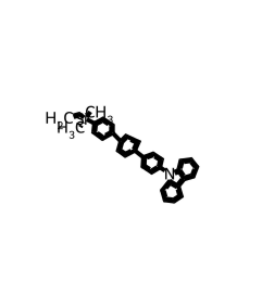 C=C[Si](C)(C)c1ccc(-c2ccc(-c3ccc(-n4c5ccccc5c5ccccc54)cc3)cc2)cc1